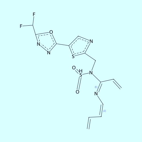 C=C/C=C\N=C(/C=C)N(Cc1ncc(-c2nnc(C(F)F)o2)s1)[SH](=O)=O